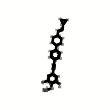 N#CSc1c(F)cc(C#Cc2ccc(C3CCC(/C=C/C4CC4)CC3)cc2)cc1F